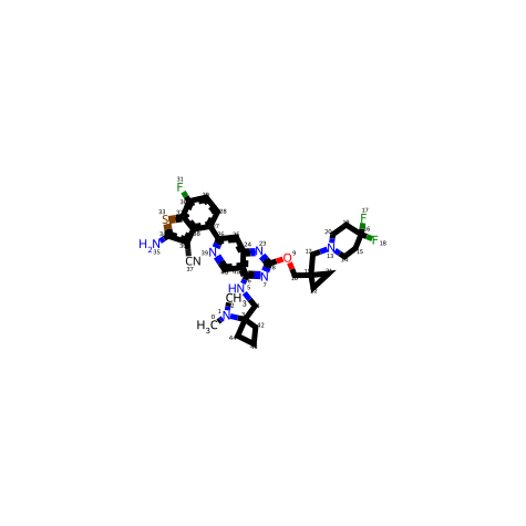 CN(C)C1(CNc2nc(OCC3(CN4CCC(F)(F)CC4)CC3)nc3cc(-c4ccc(F)c5sc(N)c(C#N)c45)ncc23)CCC1